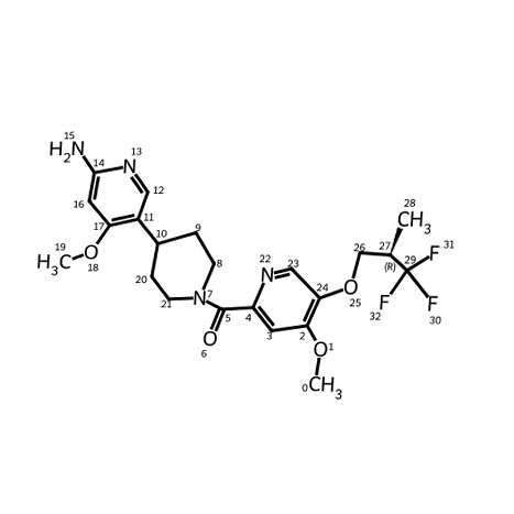 COc1cc(C(=O)N2CCC(c3cnc(N)cc3OC)CC2)ncc1OC[C@@H](C)C(F)(F)F